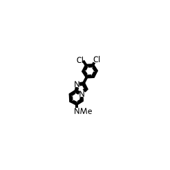 CNc1ccc2nc(-c3ccc(Cl)c(Cl)c3)cn2c1